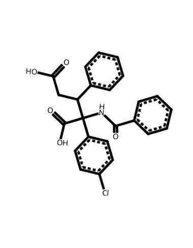 O=C(O)CC(c1ccccc1)C(NC(=O)c1ccccc1)(C(=O)O)c1ccc(Cl)cc1